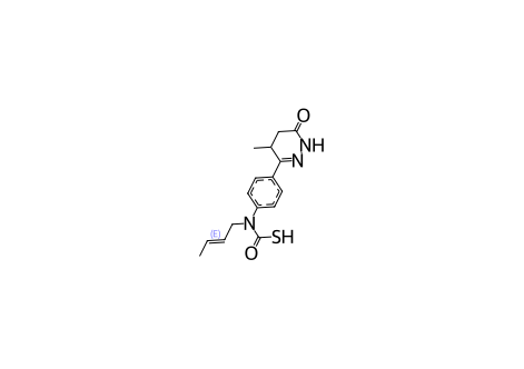 C/C=C/CN(C(=O)S)c1ccc(C2=NNC(=O)CC2C)cc1